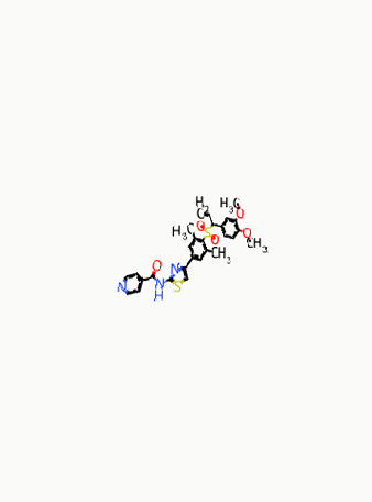 C=CC(c1ccc(OC)c(OC)c1)S(=O)(=O)c1c(C)cc(-c2csc(NC(=O)c3ccncc3)n2)cc1C